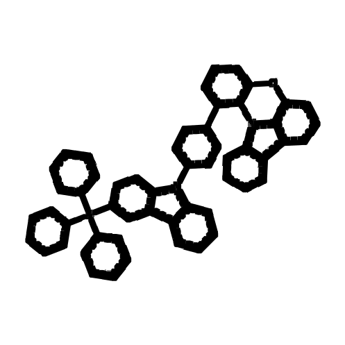 c1ccc([Si](c2ccccc2)(c2ccccc2)c2ccc3c(c2)c2ccccc2n3-c2ccc(-c3cccc4c3-n3c5ccccc5c5cccc(c53)O4)cc2)cc1